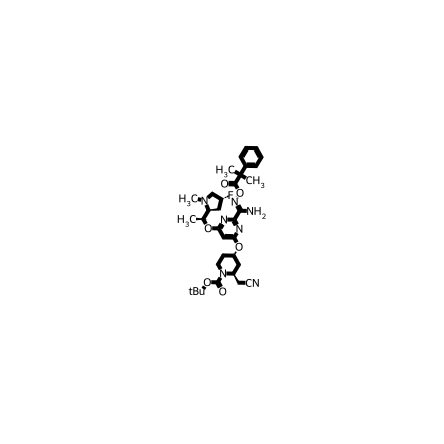 C[C@H](Oc1cc(O[C@H]2CCN(C(=O)OC(C)(C)C)[C@H](CC#N)C2)nc(C(N)=NOC(=O)C(C)(C)c2ccccc2)n1)[C@@H]1C[C@@H](F)CN1C